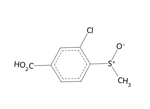 C[S+]([O-])c1ccc(C(=O)O)cc1Cl